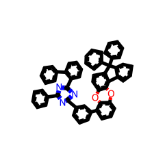 c1ccc(-c2nc(-c3cccc(-c4cccc5c4Oc4ccc6c(c4O5)-c4ccccc4C6(c4ccccc4)c4ccccc4)c3)nc(-c3ccccc3-c3ccccc3)n2)cc1